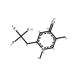 Cc1cn(C)c(CC(F)(F)F)cc1=O